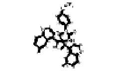 Cc1ccc2nccc(C(C)C3(C(C)c4ccnc5ccc(C)cc45)NC(=O)N(c4ccc(OC(F)(F)F)cc4)C3=O)c2c1